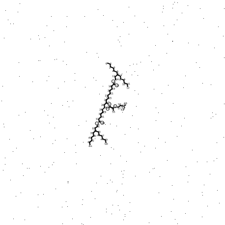 CCCCCCC(CCCCCC)CCOC(=O)CCCCCCCC(CCCCCCCC(=O)OCCC(CCCCCC)CCCCCC)OC(=O)C(C)OCCN(C)C